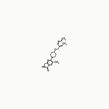 C=C/N=C\C(=C/C)COC1CCN(c2nc3c(cc2C)C(=O)NC3)CC1